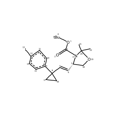 CC(C)(C)OC(=O)N1[C@@H](/C=C/C2(c3ccc(I)cc3)CC2)COC1(C)C